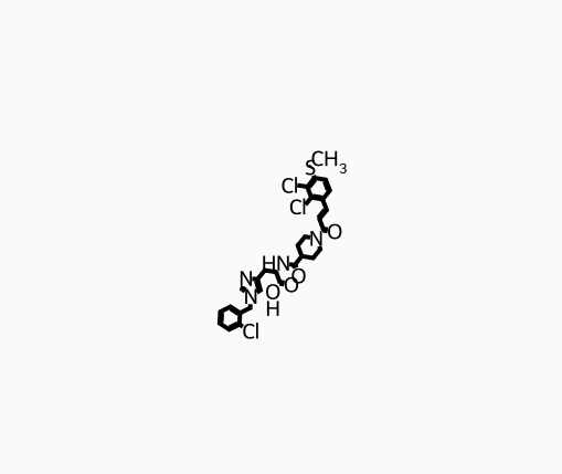 CSc1ccc(/C=C/C(=O)N2CCC(C(=O)NC(Cc3cn(Cc4ccccc4Cl)cn3)C(=O)O)CC2)c(Cl)c1Cl